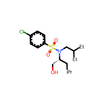 CCC(CC)CN([C@@H](CO)CC(C)C)S(=O)(=O)c1ccc(Cl)cc1